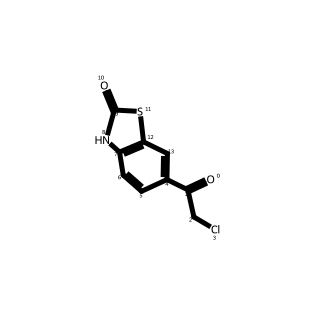 O=C(CCl)c1ccc2[nH]c(=O)sc2c1